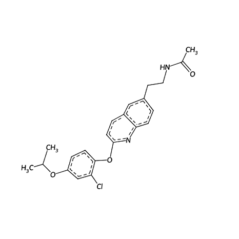 CC(=O)NCCc1ccc2nc(Oc3ccc(OC(C)C)cc3Cl)ccc2c1